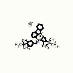 CC1=[C](/[Zr+2](=[CH]/c2ccc(C(C)(C)C)cc2)[c]2cccc3c2Cc2ccccc2-3)C(C)C=C1[Si](C)(C)C.[Cl-].[Cl-]